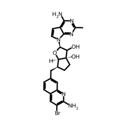 Cc1nc(N)c2ccn([C@@H]3O[C@@H]4[C@H](Cc5ccc6cc(Br)c(N)nc6c5)CC[C@]4(O)C3O)c2n1